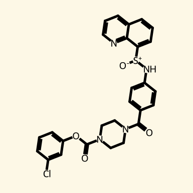 O=C(Oc1cccc(Cl)c1)N1CCN(C(=O)c2ccc(N[S+]([O-])c3cccc4cccnc34)cc2)CC1